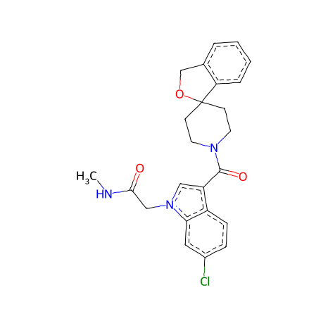 CNC(=O)Cn1cc(C(=O)N2CCC3(CC2)OCc2ccccc23)c2ccc(Cl)cc21